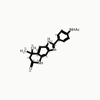 CC(=O)Nc1ccc(-c2nc3cc4c(cc3[nH]2)C(C)(C)CC(=O)N4)cc1